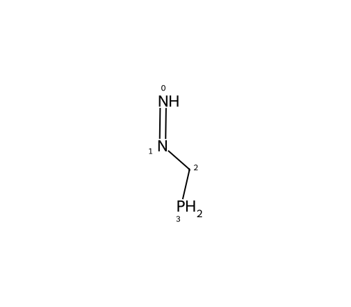 N=NCP